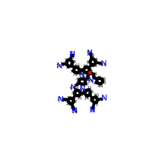 N#Cc1cc(C#N)cc(-c2ccc3c(c2)c2cc(-c4cc(C#N)cc(C#N)c4)ccc2n3-c2cc(-c3cccc(-c4ccccc4)n3)c(-n3c4ccc(-c5cc(C#N)cc(C#N)c5)cc4c4cc(-c5cc(C#N)cc(C#N)c5)ccc43)cc2C#N)c1